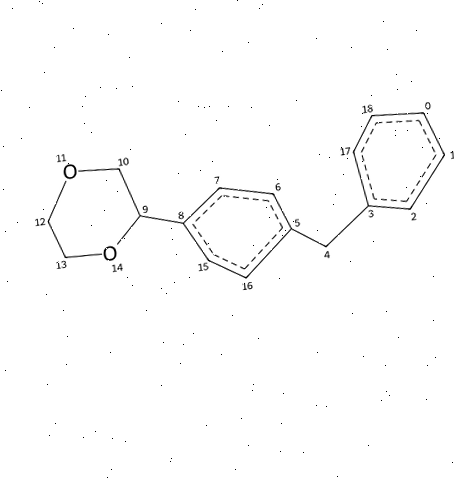 c1ccc(Cc2ccc(C3COCCO3)cc2)cc1